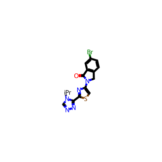 CC(C)n1cnnc1-c1nc(N2Cc3ccc(Br)cc3C2=O)cs1